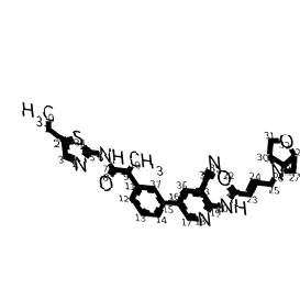 CCc1cnc(NC(=O)C(C)c2cccc(-c3cnc(NC(=O)/C=C/CN4CC5CC4CO5)c(C#N)c3)c2)s1